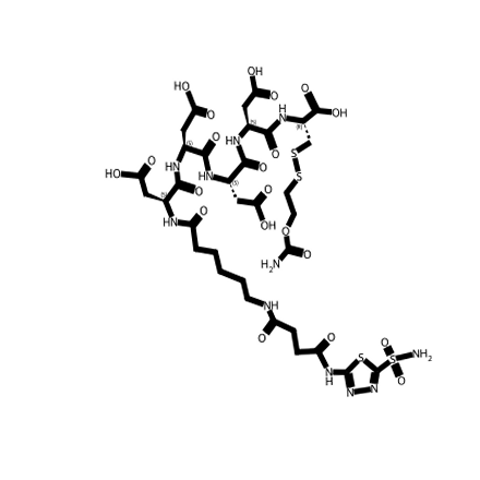 NC(=O)OCCSSC[C@H](NC(=O)[C@H](CC(=O)O)NC(=O)[C@H](CC(=O)O)NC(=O)[C@H](CC(=O)O)NC(=O)[C@H](CC(=O)O)NC(=O)CCCCCNC(=O)CCC(=O)Nc1nnc(S(N)(=O)=O)s1)C(=O)O